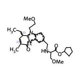 C/C=C(\C=C(\C)C(=O)CC)c1nc2cc(CNC(COC)C(=O)OC3CCCC3)ccc2n1CCOC